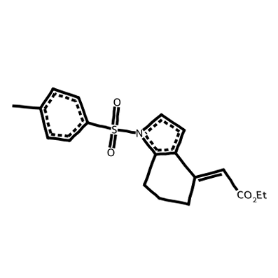 CCOC(=O)C=C1CCCc2c1ccn2S(=O)(=O)c1ccc(C)cc1